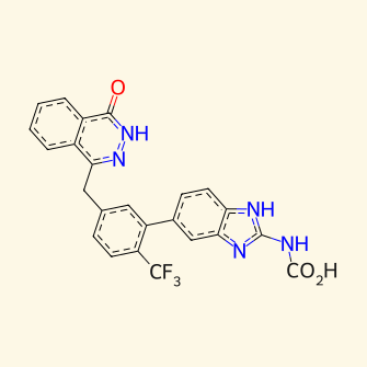 O=C(O)Nc1nc2cc(-c3cc(Cc4n[nH]c(=O)c5ccccc45)ccc3C(F)(F)F)ccc2[nH]1